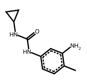 Cc1ccc(NC(=O)NC2CC2)cc1N